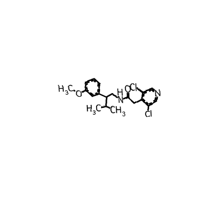 COc1cccc(C(CNC(=O)Cc2c(Cl)cncc2Cl)C(C)C)c1